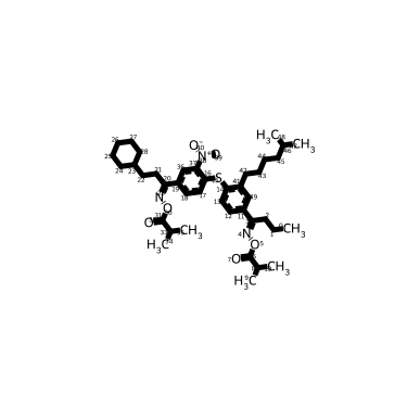 CCC/C(=N\OC(=O)C(C)C)c1ccc(Sc2ccc(/C(CCC3CCCCC3)=N\OC(=O)C(C)C)cc2[N+](=O)[O-])c(CCCCC(C)C)c1